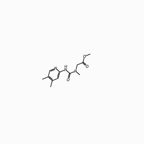 COC(=O)CN(C)C(=O)Nc1cc(C)c(C)cn1